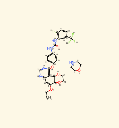 C1COCCN1.CCOc1cc2ncnc(Oc3ccc(NC(=O)Nc4cc(C(F)(F)F)ccc4F)cc3)c2c2c1OCCO2